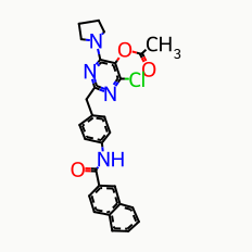 CC(=O)Oc1c(Cl)nc(Cc2ccc(NC(=O)c3ccc4ccccc4c3)cc2)nc1N1CCCC1